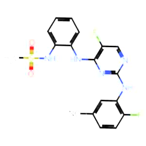 CS(=O)(=O)Nc1ccccc1Nc1nc(Nc2cc(C#N)ccc2F)ncc1F